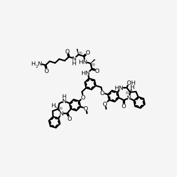 COc1cc2c(cc1OCc1cc(COc3cc4c(cc3OC)C(=O)N3c5ccccc5C[C@H]3C(O)N4)cc(NC(=O)[C@H](C)NC(=O)[C@H](C)NC(=O)CCCCC(N)=O)c1)NC[C@@H]1Cc3ccccc3N1C2=O